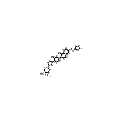 CC1(O)CCN(C2CCN(c3ccc(-n4ccc5cc(OC[C@H]6CCCO6)ccc5c4=O)cc3F)C2)CC1